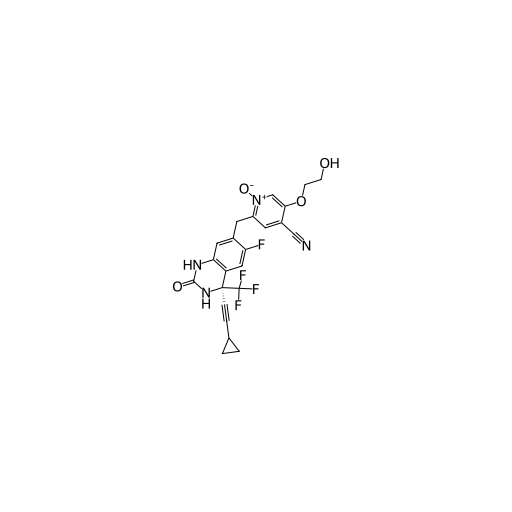 N#Cc1cc(Cc2cc3c(cc2F)[C@@](C#CC2CC2)(C(F)(F)F)NC(=O)N3)[n+]([O-])cc1OCCO